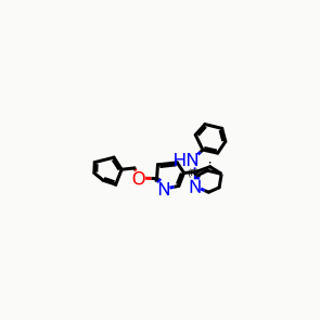 [CH]1C2CCN(CC2)[C@@]1(Nc1ccccc1)c1ccc(OCc2ccccc2)nc1